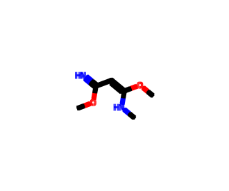 CN/C(=C\C(=N)OC)OC